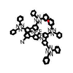 N#Cc1cccc(-c2ccc(-n3c4ccc(-c5nc(-c6ccccc6)nc(-c6ccccc6)n5)cc4c4cc(-c5nc(-c6ccccc6)nc(-c6ccccc6)n5)ccc43)c(C(F)(F)F)c2-n2c3ccc(-c4nc(-c5ccccc5)nc(-c5ccccc5)n4)cc3c3cc(-c4nc(-c5ccccc5)nc(-c5ccccc5)n4)ccc32)c1